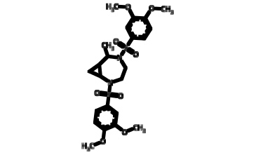 COc1ccc(S(=O)(=O)N2CCN(S(=O)(=O)c3ccc(OC)c(OC)c3)C3CC3C2C)cc1OC